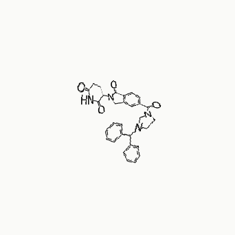 O=C1CCC(N2Cc3cc(C(=O)N4CCN(C(c5ccccc5)c5ccccc5)C4)ccc3C2=O)C(=O)N1